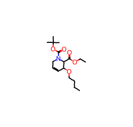 CCCCOC1C=CCN(C(=O)OC(C)(C)C)C1C(=O)OCC